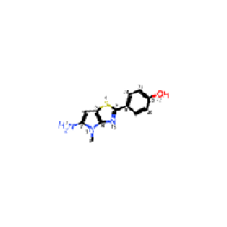 Cn1c(N)cc2sc(-c3ccc(O)cc3)nc21